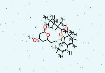 [2H]O[C@H]1CC(=O)OC(CC[C@@H]2[C@@H]3C(=C([2H])[C@]([2H])(C)C([2H])([2H])C3OC(=O)C(C)(C([2H])([2H])[2H])C([2H])([2H])C([2H])([2H])[2H])C([2H])=C([2H])[C@]2([2H])C)C1